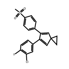 CS(=O)(=O)c1ccc(C2=CC3(C=C2c2ccc(F)c(Cl)c2)CC3)cc1